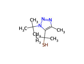 Cc1nnn(C(C)(C)C)c1C(C)(C)S